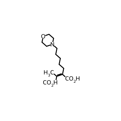 CC(C(=O)O)=C(CCCCCN1CCOCC1)C(=O)O